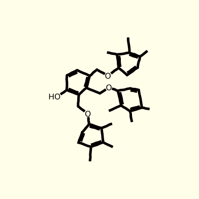 Cc1ccc(OCc2ccc(O)c(COc3ccc(C)c(C)c3C)c2COc2ccc(C)c(C)c2C)c(C)c1C